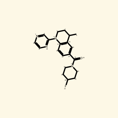 CC1CCN(c2cnccn2)c2ccc(C(=O)N3CCC(F)CC3)cc21